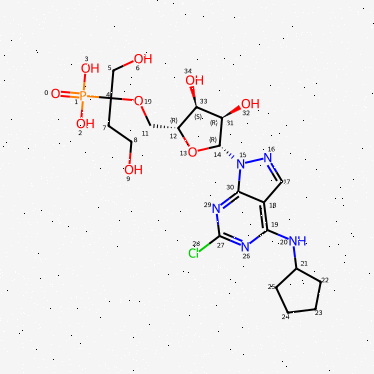 O=P(O)(O)C(CO)(CCO)OC[C@H]1O[C@@H](n2ncc3c(NC4CCCC4)nc(Cl)nc32)[C@H](O)[C@@H]1O